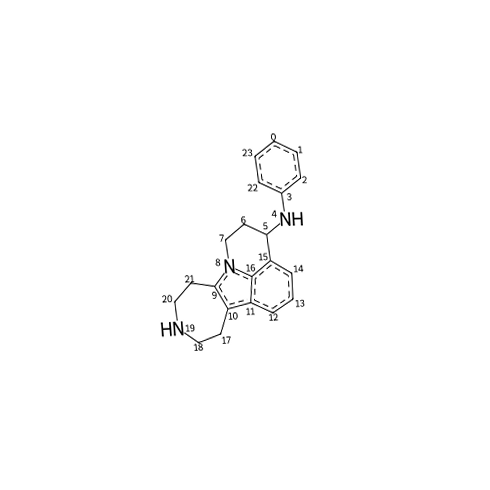 c1ccc(NC2CCn3c4c(c5cccc2c53)CCNCC4)cc1